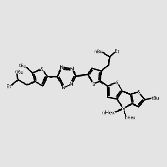 CCCCCC[Si]1(CCCCCC)c2cc(-c3sc(-c4nnc(-c5cc(CC(CC)CCCC)c(C(C)(C)C)s5)nn4)cc3CC(CC)CCCC)sc2-c2sc(C(C)(C)C)cc21